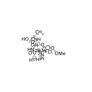 C=C[C@@H]1C[C@]1(NC(=O)[C@@H]1C[C@@H](Oc2cc(C3=NC(C(C)C)CS3)nc3c(Cl)c(OCCOC)ccc23)CN1C(=O)[C@@H](NC(=O)O[C@@H]1C[C@@H]2C[C@@H]2C1)C(C)(C)C)C(=O)O